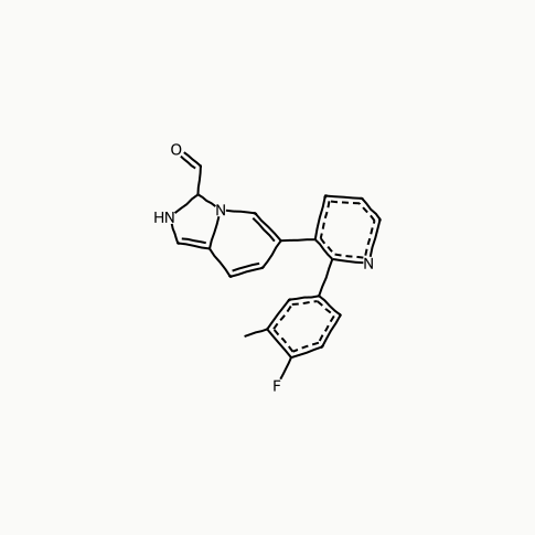 Cc1cc(-c2ncccc2C2=CN3C(=CNC3C=O)C=C2)ccc1F